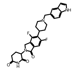 O=C1CCC(N2Cc3c(cc(F)c(C4CCN(Cc5ccc6[nH]ccc6c5)CC4)c3F)C2=O)C(=O)N1